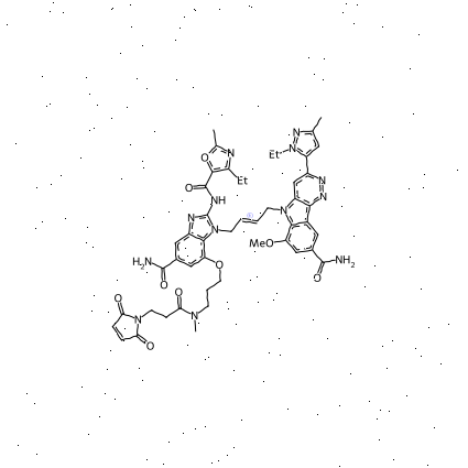 CCc1nc(C)oc1C(=O)Nc1nc2cc(C(N)=O)cc(OCCCN(C)C(=O)CCN3C(=O)C=CC3=O)c2n1C/C=C/Cn1c2cc(-c3cc(C)nn3CC)nnc2c2cc(C(N)=O)cc(OC)c21